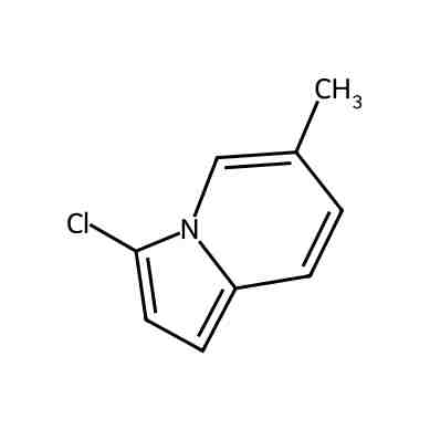 Cc1ccc2ccc(Cl)n2c1